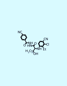 CCc1c(NC(C(=O)NNC(=O)c2ccc(C#N)cc2)[C@H](C)O)ccc(C#N)c1Cl